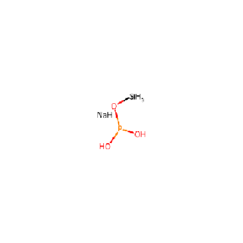 OP(O)O[SiH3].[NaH]